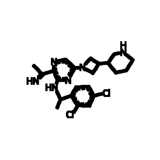 CC(=N)c1ncc(N2CC(C3CCCNC3)C2)nc1NC(C)c1ccc(Cl)cc1Cl